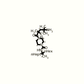 CCCCCCCC(C)(CCCCCC)NC(=O)N1CCN(C(=O)C(C)(C)CC(C)(C)N)CC1